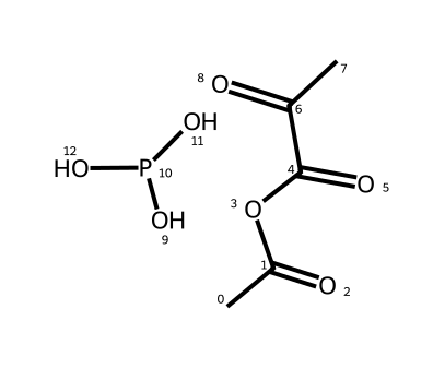 CC(=O)OC(=O)C(C)=O.OP(O)O